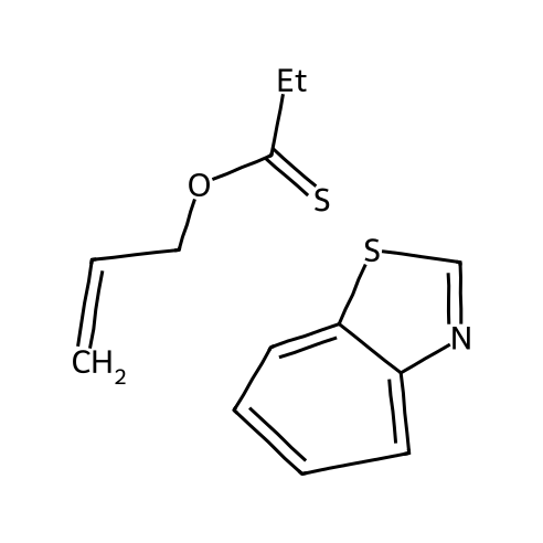 C=CCOC(=S)CC.c1ccc2scnc2c1